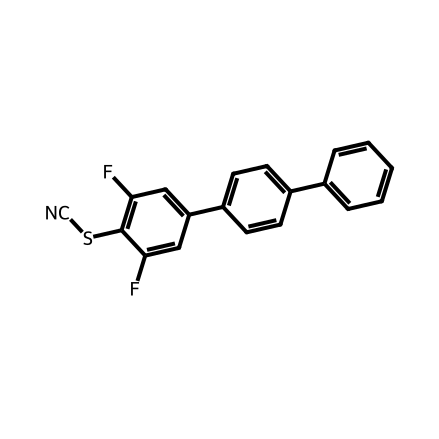 N#CSc1c(F)cc(-c2ccc(-c3ccccc3)cc2)cc1F